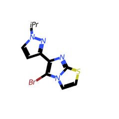 CC(C)n1ccc(-c2nc3sccn3c2Br)n1